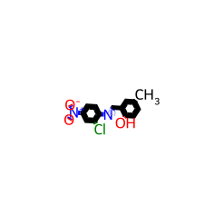 Cc1ccc(O)c(/C=N/c2ccc([N+](=O)[O-])cc2Cl)c1